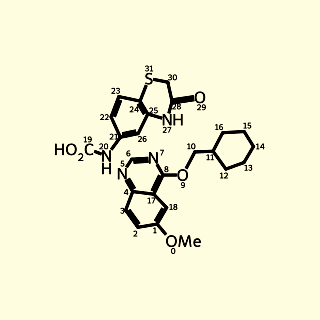 COc1ccc2ncnc(OCC3CCCCC3)c2c1.O=C(O)Nc1ccc2c(c1)NC(=O)CS2